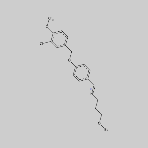 CCOCCC/N=C/c1ccc(OCc2ccc(OC(F)(F)F)c(Cl)c2)cc1